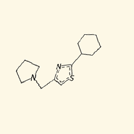 c1sc(C2CCCCC2)nc1CN1CCCC1